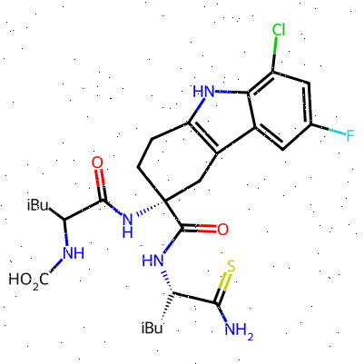 CCC(C)C(NC(=O)O)C(=O)N[C@]1(C(=O)N[C@H](C(N)=S)[C@@H](C)CC)CCc2[nH]c3c(Cl)cc(F)cc3c2C1